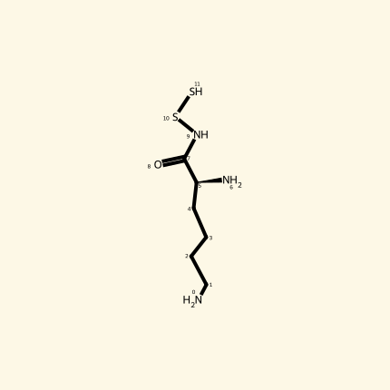 NCCCC[C@H](N)C(=O)NSS